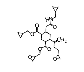 C=C(CCC1CO1)C1CC(CC(=O)NCC2CC2)C(C(=O)OCC2CC2)CC1C(=O)OCC1CO1